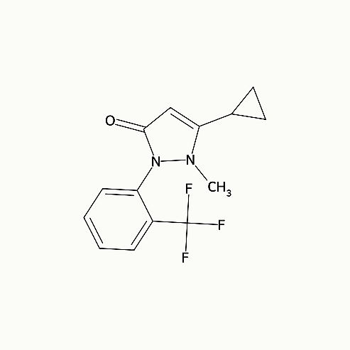 Cn1c(C2CC2)cc(=O)n1-c1ccccc1C(F)(F)F